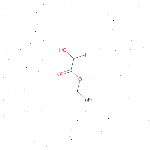 CCCCOC(=O)C(O)I